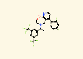 CC(c1cc(C(F)(F)F)cc(C(F)(F)F)c1)N1CCOc2nccc(-c3ccc(F)cc3F)c2C1